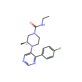 CCNC(=O)N1CCN(c2cncnc2-c2ccc(F)cc2)[C@@H](C)C1